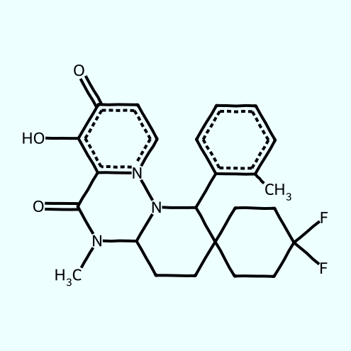 Cc1ccccc1C1N2C(CCC13CCC(F)(F)CC3)N(C)C(=O)c1c(O)c(=O)ccn12